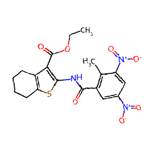 CCOC(=O)c1c(NC(=O)c2cc([N+](=O)[O-])cc([N+](=O)[O-])c2C)sc2c1CCCC2